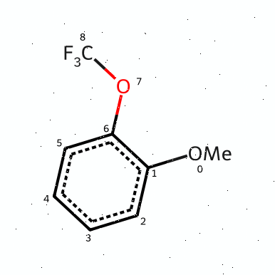 COc1ccccc1OC(F)(F)F